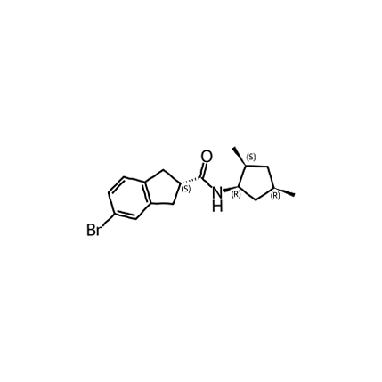 C[C@@H]1C[C@H](C)[C@H](NC(=O)[C@H]2Cc3ccc(Br)cc3C2)C1